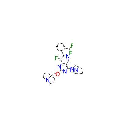 Fc1c(-c2ccccc2C(F)F)ncc2c(N3CC4CCC(C3)N4)nc(OCC34CCCN3CCC4)nc12